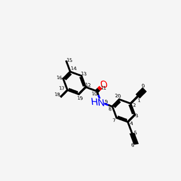 C#Cc1cc(C#C)cc(NC(=O)c2cc(C)cc(C)c2)c1